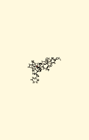 COCCOC(=O)N1[C@@H]2CC[C@H]1[C@H](C(=O)NOC1CCCCO1)N(S(=O)(=O)c1cc(F)c(Oc3cnn(C)c3)c(F)c1)C2